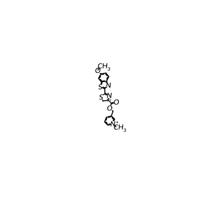 COc1ccc2nc(C3=N[C@@H](C(=O)OCc4ccc[n+](C)c4)CS3)sc2c1